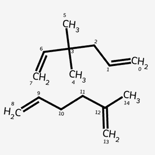 C=CCC(C)(C)C=C.C=CCCC(=C)C